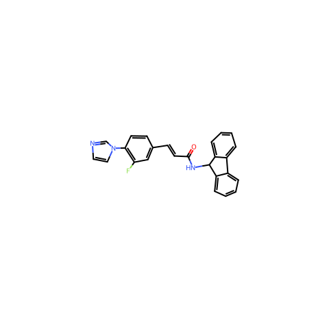 O=C(C=Cc1ccc(-n2ccnc2)c(F)c1)NC1c2ccccc2-c2ccccc21